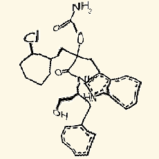 NC(=O)OC(Cc1c[nH]c2ccccc12)(CC1CCCCC1Cl)C(=O)NC(CO)Cc1ccccc1